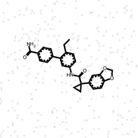 CCc1ccc(NC(=O)C2(c3ccc4c(c3)OCO4)CC2)cc1-c1ccc(C(N)=O)cc1